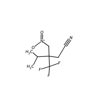 CC(C)C(CC#N)(C[N+](=O)[O-])C(F)(F)F